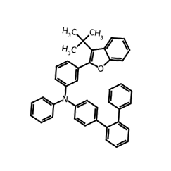 CC(C)(C)c1c(-c2cccc(N(c3ccccc3)c3ccc(-c4ccccc4-c4ccccc4)cc3)c2)oc2ccccc12